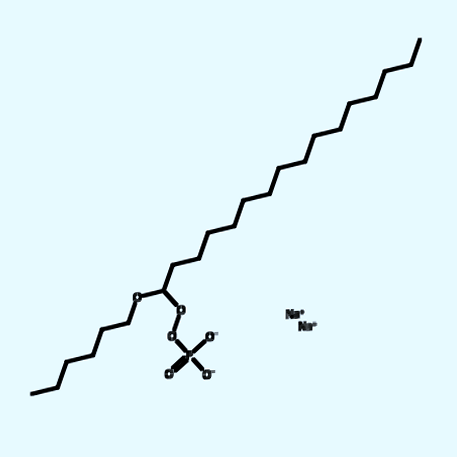 CCCCCCCCCCCCCCCC(OCCCCCC)OOP(=O)([O-])[O-].[Na+].[Na+]